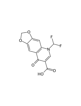 O=C(O)c1cn(C(F)F)c2cc3c(cc2c1=O)OCO3